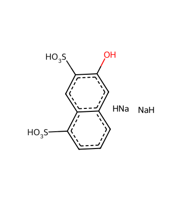 O=S(=O)(O)c1cc2c(S(=O)(=O)O)cccc2cc1O.[NaH].[NaH]